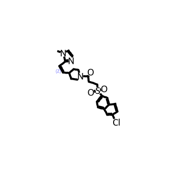 Cn1ccnc1/C=C\C1CCN(C(=O)CCS(=O)(=O)c2ccc3cc(Cl)ccc3c2)CC1